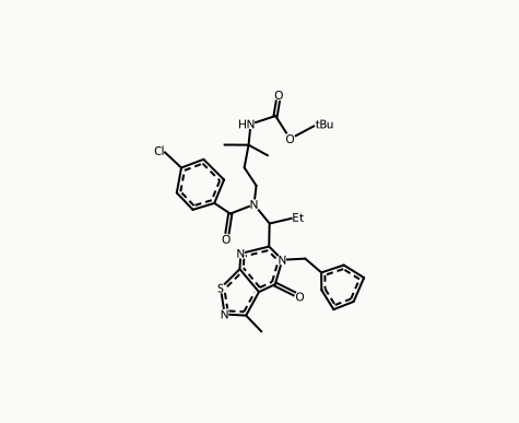 CCC(c1nc2snc(C)c2c(=O)n1Cc1ccccc1)N(CCC(C)(C)NC(=O)OC(C)(C)C)C(=O)c1ccc(Cl)cc1